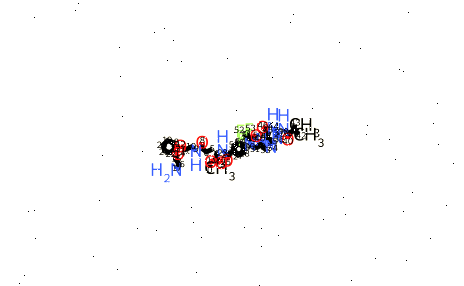 COC(=O)[C@H](CCC(=O)NCCOC1(OCCN)CCCCC1)NC(=O)c1ccc(N(Cc2cnc3nc(NC(=O)C(C)C)[nH]c(=O)c3n2)C(=O)C(F)(F)F)cc1